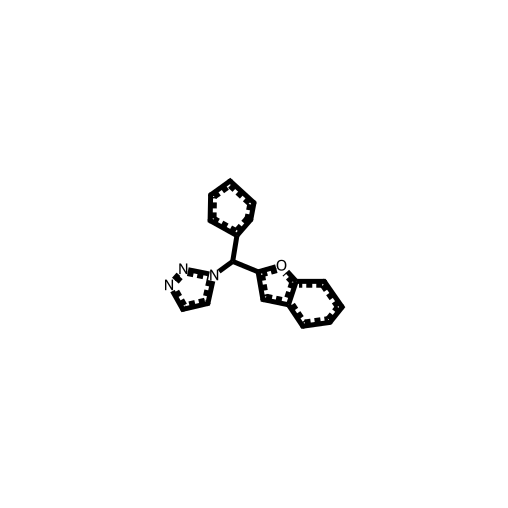 c1ccc(C(c2cc3ccccc3o2)n2ccnn2)cc1